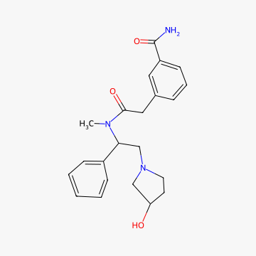 CN(C(=O)Cc1cccc(C(N)=O)c1)C(CN1CCC(O)C1)c1ccccc1